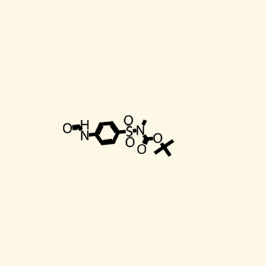 CN(C(=O)OC(C)(C)C)S(=O)(=O)c1ccc(NC=O)cc1